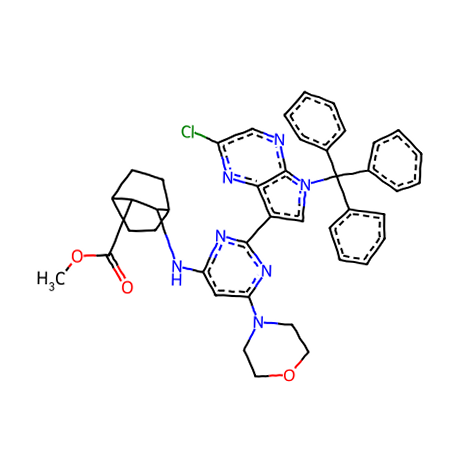 COC(=O)C1C2CCC(CC2)C1Nc1cc(N2CCOCC2)nc(-c2cn(C(c3ccccc3)(c3ccccc3)c3ccccc3)c3ncc(Cl)nc23)n1